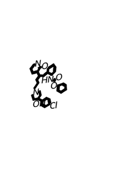 O=C(NC1C=CC=C2Oc3ncccc3C(=CCCN3CCC(O)(c4ccc(Cl)cc4)CC3)C=C21)Oc1ccccc1